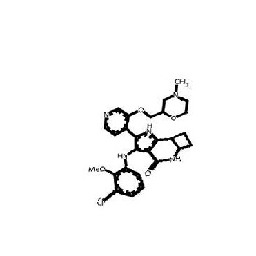 COc1c(Cl)cccc1Nc1c(-c2ccncc2OCC2CN(C)CCO2)[nH]c2c1C(=O)NC1CCC21